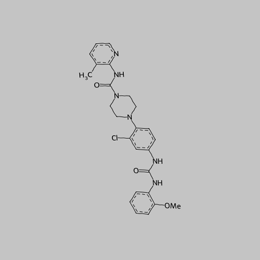 COc1ccccc1NC(=O)Nc1ccc(N2CCN(C(=O)Nc3ncccc3C)CC2)c(Cl)c1